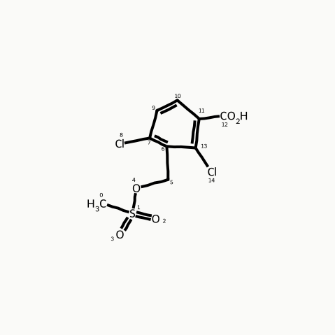 CS(=O)(=O)OCc1c(Cl)ccc(C(=O)O)c1Cl